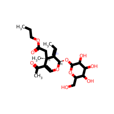 C/C=C1/[C@H](OC2OC(CO)C(O)C(O)C2O)OC=C(C(C)=O)[C@@]1(C)CC(=O)OCCC